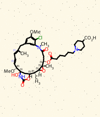 COc1cc2cc(c1Cl)N(C)C(=O)C[C@H](OC(=O)CCCCCN1CCC(C(=O)O)CC1)[C@]1(C)O[C@H]1[C@H](C)[C@@H]1C[C@@](O)(NC(=O)O1)[C@H](OC)/C=C/C=C(\C)C2